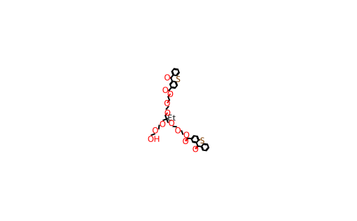 CCC(COCCOCCO)(COCCOCCOC(=O)c1ccc2sc3ccccc3c(=O)c2c1)COCCOCCOC(=O)c1ccc2sc3ccccc3c(=O)c2c1